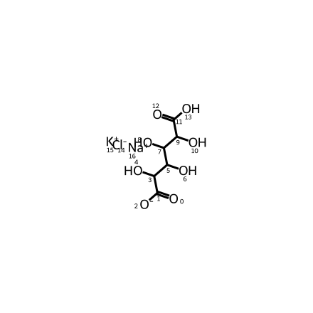 O=C([O-])C(O)C(O)C(O)C(O)C(=O)O.[Cl-].[K+].[Na+]